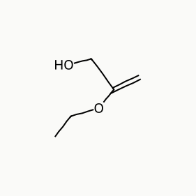 C=C(CO)OCC